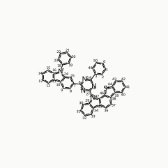 c1ccc(-c2nc(-c3ccc4c5ccccc5n(-c5ccccc5)c4c3)nc(-n3c4ccccc4c4ccc5c6ccccc6sc5c43)n2)cc1